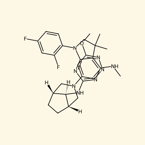 CNc1nc(N[C@@H]2[C@@H]3CC[C@H]2CN(c2cnnc(OC)c2)C3)nc2c1C(C)(C)CN2c1ccc(F)cc1F